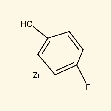 Oc1ccc(F)cc1.[Zr]